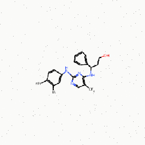 CCCc1ccc(Nc2ncc(C(F)(F)F)c(NC(CCO)c3ccccc3)n2)cc1CC